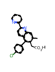 Cc1cc2nc(-c3ccccn3)ccc2c(-c2ccc(Cl)cc2)c1CC(=O)O